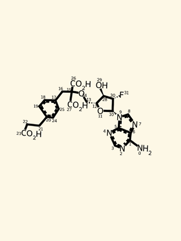 Nc1ncnc2c1ncn2[C@@H]1O[C@H](COC(Cc2ccc(CCC(=O)O)cc2)(C(=O)O)C(=O)O)[C@@H](O)[C@@H]1F